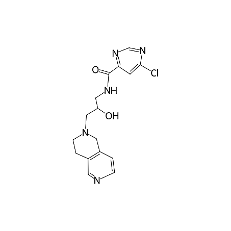 O=C(NCC(O)CN1CCc2cnccc2C1)c1cc(Cl)ncn1